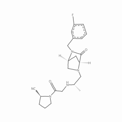 C[C@@H](CN1C[C@@H]2C[C@H]1C(=O)N2Cc1cccc(F)c1)NCC(=O)N1CCC[C@H]1C#N